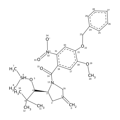 C=C1C[C@@H](C(O[SiH](C)C)C(C)(C)C)N(C(=O)c2cc(OC)c(OCc3ccccc3)cc2[N+](=O)[O-])C1